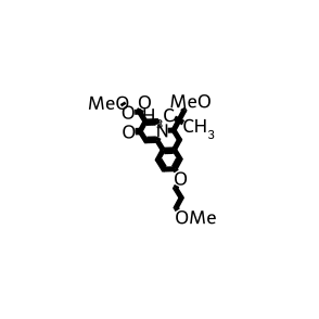 COCCCOc1ccc2c(c1)CC(C(C)(C)COC)n1cc(C(=O)OOC)c(=O)cc1-2